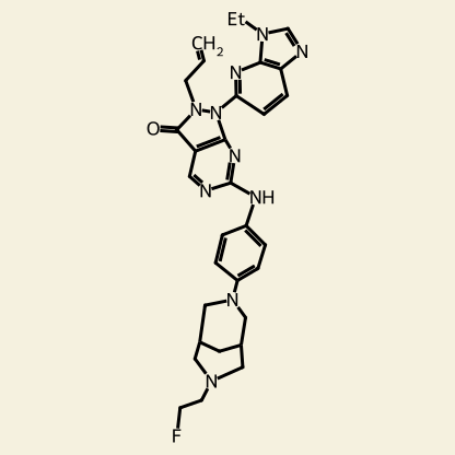 C=CCn1c(=O)c2cnc(Nc3ccc(N4CC5CC(CN(CCF)C5)C4)cc3)nc2n1-c1ccc2ncn(CC)c2n1